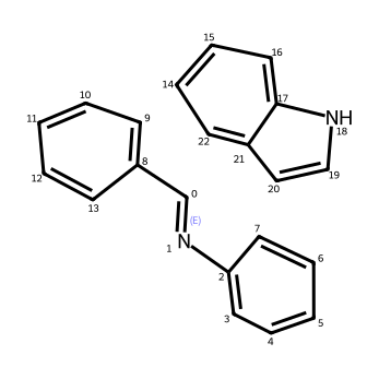 C(=N\c1ccccc1)/c1ccccc1.c1ccc2[nH]ccc2c1